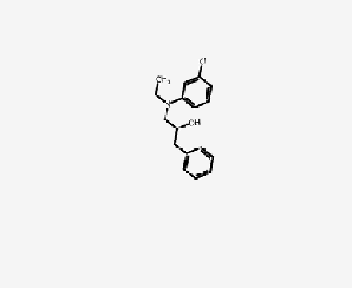 CCN(CC(O)Cc1ccccc1)c1cccc(Cl)c1